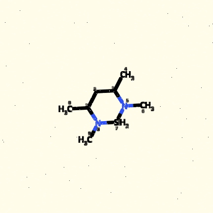 CC1CC(C)N(C)[SiH2]N1C